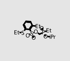 CCSc1cccc(CC)c1S(=O)(=O)OCP(=O)(CC)OC(C)C